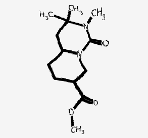 COC(=O)C1CCC2CC(C)(C)N(C)C(=O)N2C1